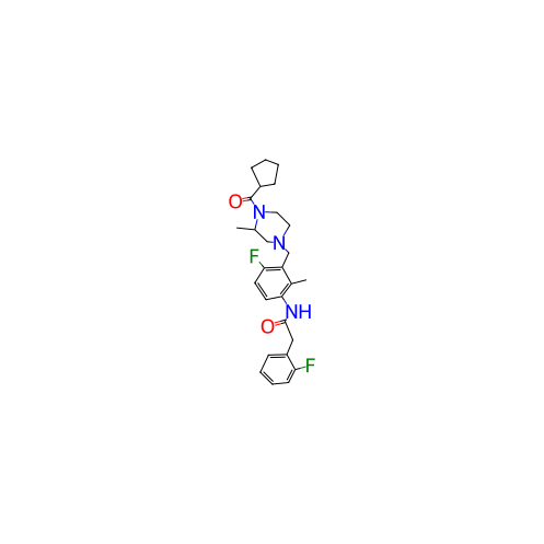 Cc1c(NC(=O)Cc2ccccc2F)ccc(F)c1CN1CCN(C(=O)C2CCCC2)C(C)C1